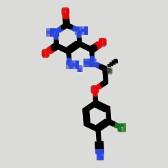 C[C@H](COc1ccc(C#N)c(Cl)c1)NC(=O)c1[nH]c(=O)[nH]c(=O)c1N